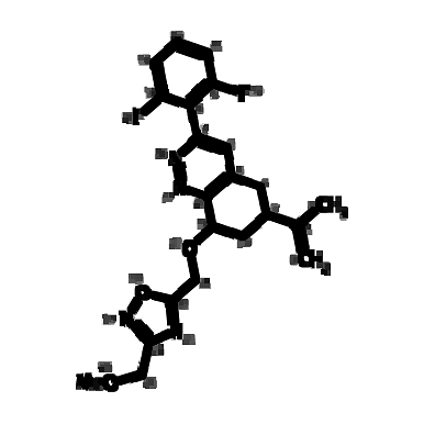 C=C(C)C1Cc2cc(-c3c(F)cccc3F)nnc2C(OCc2nc(COC)no2)C1